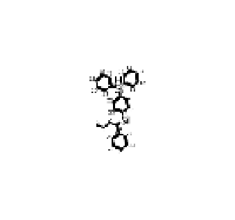 CCC/C(=[SiH]\c1ccc([SiH](c2ccccc2)c2ccccc2)cc1)c1ccccc1